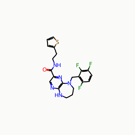 O=C(NCCc1cccs1)c1cnc2c(n1)N(Cc1c(F)ccc(F)c1F)CCCN2